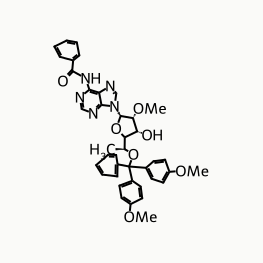 COc1ccc(C(O[C@@H](C)C2O[C@@H](n3cnc4c(NC(=O)c5ccccc5)ncnc43)[C@H](OC)[C@@H]2O)(c2ccccc2)c2ccc(OC)cc2)cc1